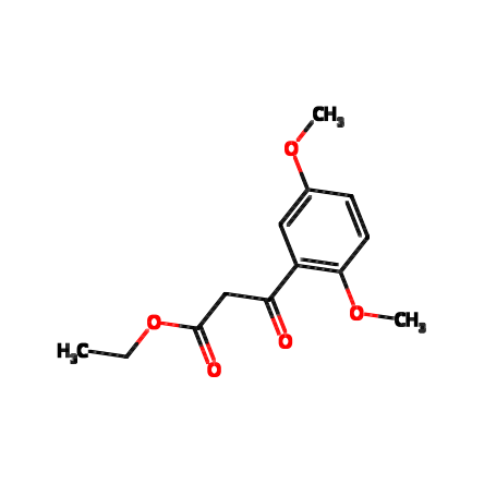 CCOC(=O)CC(=O)c1cc(OC)ccc1OC